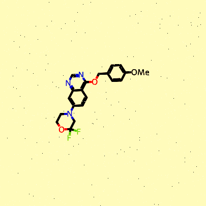 COc1ccc(COc2ncnc3cc(N4CCOC(F)(F)C4)ccc23)cc1